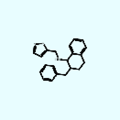 c1ccc(CC2CCc3ccccc3C2NCc2ccno2)cc1